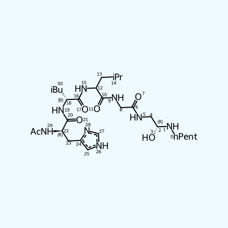 CCCCCN[C@H](O)CNC(=O)CNC(=O)C(CC(C)C)NC(=O)[C@H](NC(=O)[C@@H](Cc1c[nH]cn1)NC(C)=O)C(C)CC